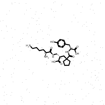 NCCCC[C@H](N)C(=O)NC[C@H](CC1(C(=O)N[C@@H](Cc2ccc(O)cc2)C(=O)O)CCCC1)C(=O)O